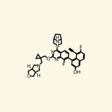 C#Cc1c(F)ccc2cc(O)cc(-c3ccc4c(N5CC6CCC(C5)N6)nc(OCC5(CN6C[C@H]7COC[C@H]7C6)CC5)nc4c3F)c12